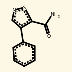 NC(=O)c1sncc1-c1ccccc1